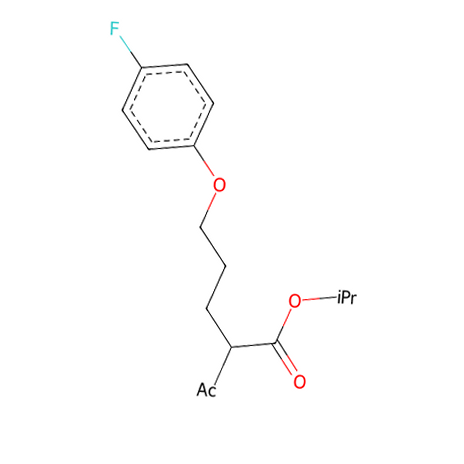 CC(=O)C(CCCOc1ccc(F)cc1)C(=O)OC(C)C